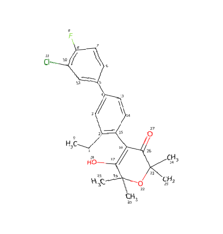 CCc1cc(-c2ccc(F)c(Cl)c2)ccc1C1=C(O)C(C)(C)OC(C)(C)C1=O